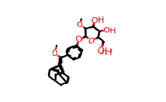 COC(=C1C2CC3CC(C2)CC1C3)c1cccc(OC2OC(CO)C(O)C(O)C2OC)c1